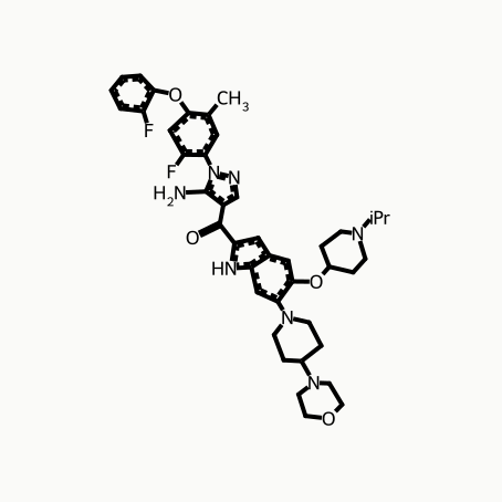 Cc1cc(-n2ncc(C(=O)c3cc4cc(OC5CCN(C(C)C)CC5)c(N5CCC(N6CCOCC6)CC5)cc4[nH]3)c2N)c(F)cc1Oc1ccccc1F